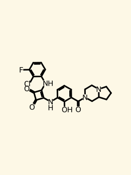 O=C(c1cccc(Nc2c(Nc3cccc(F)c3Cl)c(=O)c2=O)c1O)N1CCN2CCCC2C1